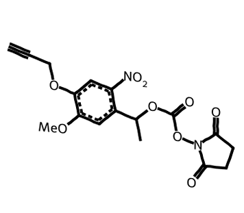 C#CCOc1cc([N+](=O)[O-])c(C(C)OC(=O)ON2C(=O)CCC2=O)cc1OC